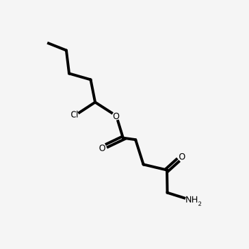 CCCCC(Cl)OC(=O)CCC(=O)CN